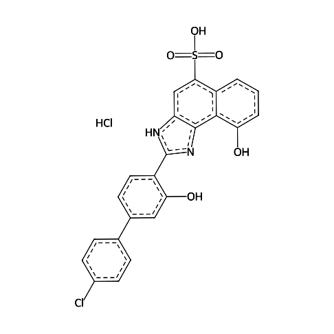 Cl.O=S(=O)(O)c1cc2[nH]c(-c3ccc(-c4ccc(Cl)cc4)cc3O)nc2c2c(O)cccc12